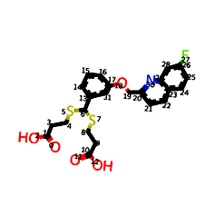 O=C(O)CCSC(SCCC(=O)O)c1cccc(OCc2ccc3ccc(F)cc3n2)c1